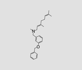 CC(C)=CCC/C(C)=C/CN(C)Cc1cccc(OCc2ccccc2)c1